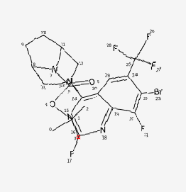 CC(C)(C)OC(=O)N1C2CCC1CN(c1nc(F)nc3c(F)c(Br)c(C(F)(F)F)cc13)C2